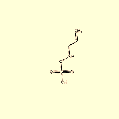 C=CCNOS(=O)(=O)O